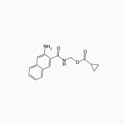 Nc1cc2ccccc2cc1C(=O)NCOC(=O)C1CC1